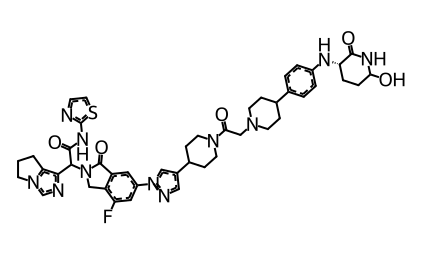 O=C(Nc1nccs1)C(c1ncn2c1CCC2)N1Cc2c(F)cc(-n3cc(C4CCN(C(=O)CN5CCC(c6ccc(N[C@H]7CCC(O)NC7=O)cc6)CC5)CC4)cn3)cc2C1=O